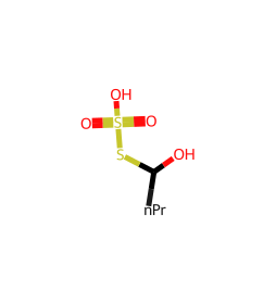 CCCC(O)SS(=O)(=O)O